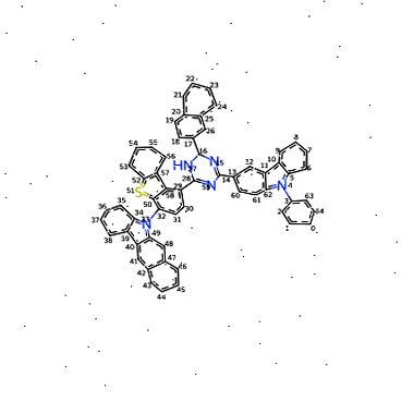 c1ccc(-n2c3ccccc3c3cc(C4=NC(c5ccc6ccccc6c5)NC(c5ccc(-n6c7ccccc7c7cc8ccccc8cc76)c6sc7ccccc7c56)=N4)ccc32)cc1